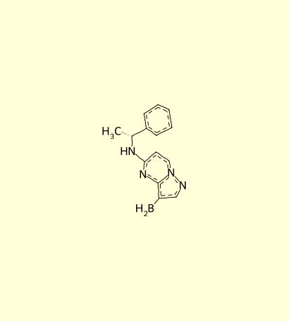 Bc1cnn2ccc(N[C@H](C)c3ccccc3)nc12